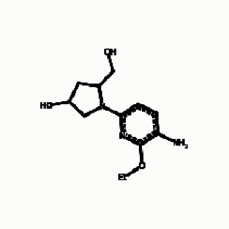 CCOc1nc(N2CC(O)CC2CO)ccc1N